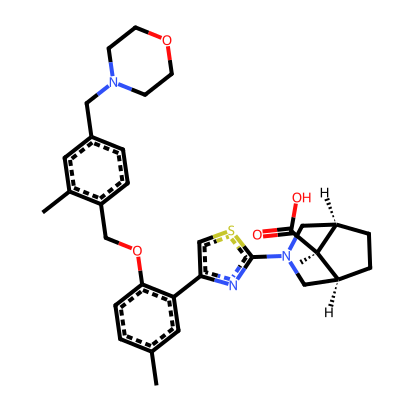 Cc1ccc(OCc2ccc(CN3CCOCC3)cc2C)c(-c2csc(N3C[C@H]4CC[C@@H](C3)[C@@]4(C)C(=O)O)n2)c1